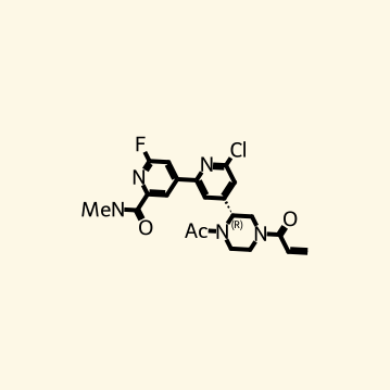 C=CC(=O)N1CCN(C(C)=O)[C@H](c2cc(Cl)nc(-c3cc(F)nc(C(=O)NC)c3)c2)C1